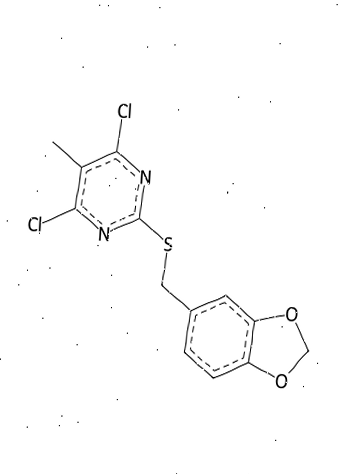 Cc1c(Cl)nc(SCc2ccc3c(c2)OCO3)nc1Cl